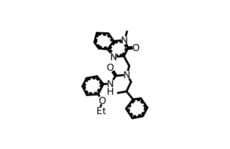 CCOc1ccccc1NC(=O)N(Cc1nc2ccccc2n(C)c1=O)CC(C)c1ccccc1